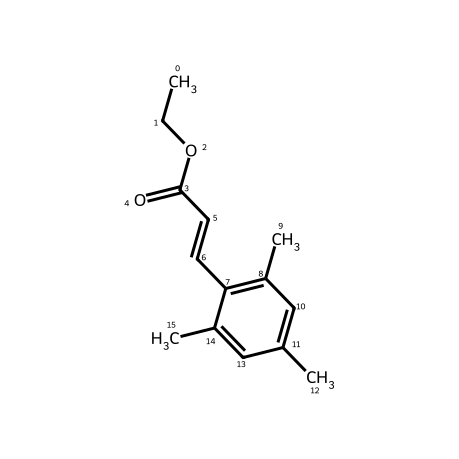 CCOC(=O)/C=C/c1c(C)cc(C)cc1C